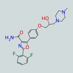 CN1CCN(CC(O)COc2ccc(-c3oc(-c4c(F)cccc4F)nc3C(N)=O)cc2)CC1